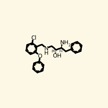 N[C@@H](Cc1ccccc1)[C@H](O)CNCc1c(Cl)cccc1Oc1ccccc1